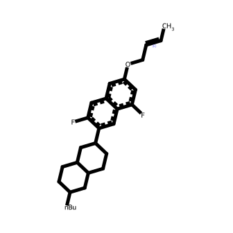 C/C=C/COc1cc(F)c2cc(C3CCC4CC(CCCC)CCC4C3)c(F)cc2c1